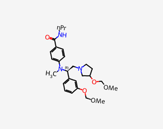 CCCNC(=O)c1ccc(N(C)[C@@H](CN2CCC(OCOC)C2)c2cccc(OCOC)c2)cc1